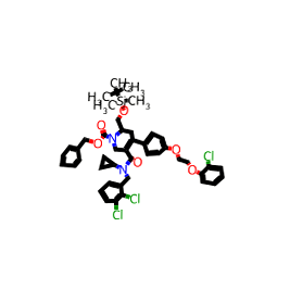 CC(C)(C)[Si](C)(C)OCC1CC(c2ccc(OCCOc3ccccc3Cl)cc2)=C(C(=O)N(Cc2cccc(Cl)c2Cl)C2CC2)CN1C(=O)OCc1ccccc1